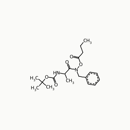 CCCC(=O)ON(Cc1ccccc1)C(=O)C(C)NC(=O)OC(C)(C)C